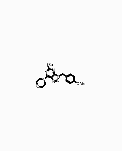 COc1ccc(Cn2nnc3c(N4CCOCC4)nc(C(C)(C)C)nc32)cc1